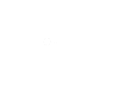 CC(COc1ccccc1)OCCC1CCCCC1